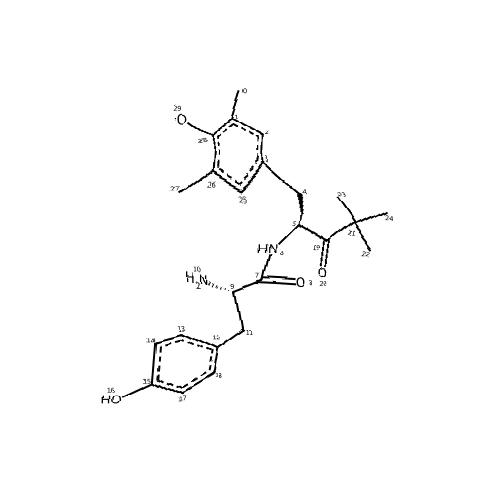 Cc1cc(C[C@H](NC(=O)[C@@H](N)Cc2ccc(O)cc2)C(=O)C(C)(C)C)cc(C)c1[O]